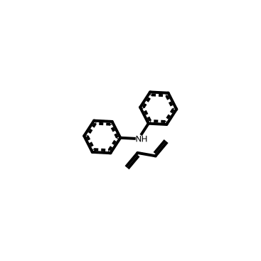 C=CC=C.c1ccc(Nc2ccccc2)cc1